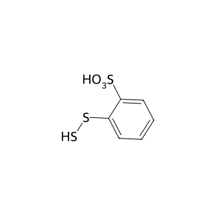 O=S(=O)(O)c1ccccc1SS